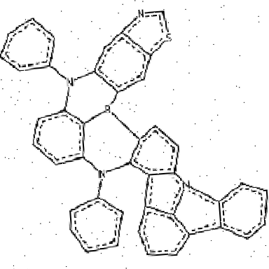 c1ccc(N2c3cc4ncsc4cc3B3c4ccc5c(c4N(c4ccccc4)c4cccc2c43)c2cccc3c4ccccc4n5c32)cc1